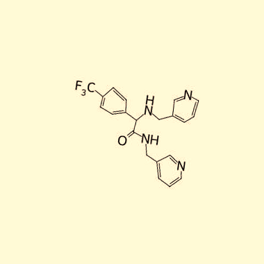 O=C(NCc1cccnc1)C(NCc1cccnc1)c1ccc(C(F)(F)F)cc1